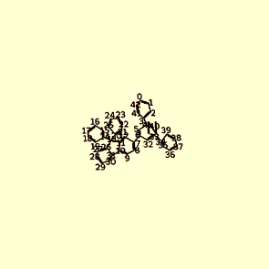 c1ccc(-c2cc(-c3ccc4c(c3)C(c3ccccc3)(c3ccccc3)c3ccccc3-4)cc(-c3ccccc3)n2)cc1